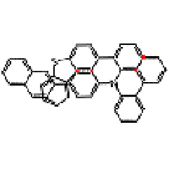 c1ccc(-c2ccccc2N(c2ccc(-c3ccc4ccccc4c3)cc2)c2ccccc2-c2ccc3sc4ccccc4c3c2)cc1